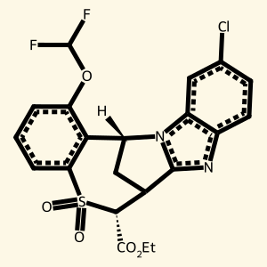 CCOC(=O)[C@H]1C2C[C@H](c3c(OC(F)F)cccc3S1(=O)=O)n1c2nc2ccc(Cl)cc21